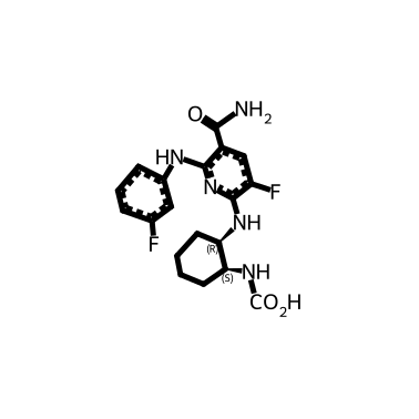 NC(=O)c1cc(F)c(N[C@@H]2CCCC[C@@H]2NC(=O)O)nc1Nc1cccc(F)c1